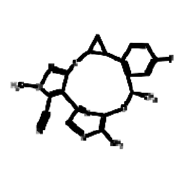 C[C@H]1Oc2nc(cnc2N)-c2c(nn(C)c2C#N)CC2CC2c2ccc(F)cc21